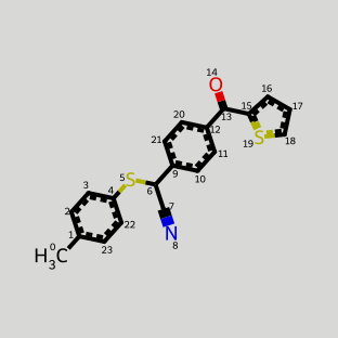 Cc1ccc(SC(C#N)c2ccc(C(=O)c3cccs3)cc2)cc1